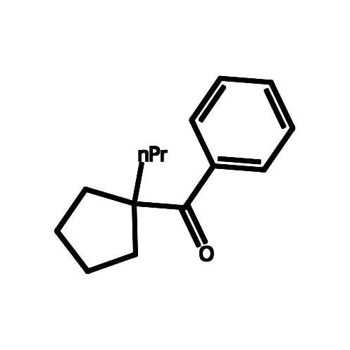 CCCC1(C(=O)c2ccccc2)CCCC1